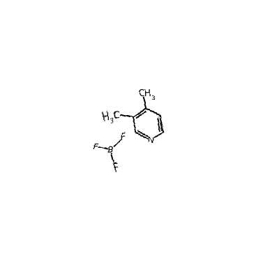 Cc1ccncc1C.FB(F)F